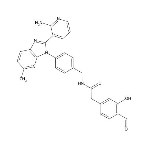 Cc1ccc2nc(-c3cccnc3N)n(-c3ccc(CNC(=O)Cc4ccc(C=O)c(O)c4)cc3)c2n1